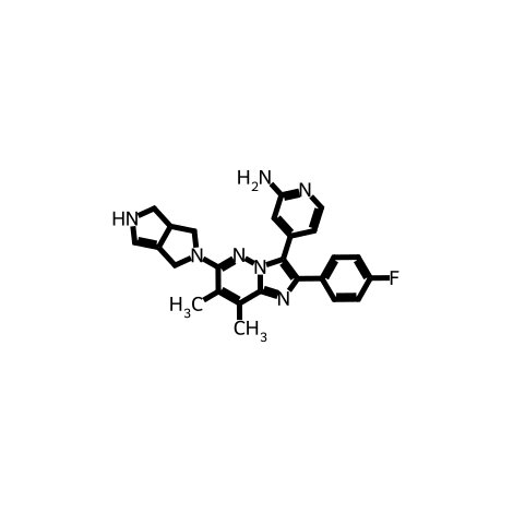 Cc1c(N2CC3=CNCC3C2)nn2c(-c3ccnc(N)c3)c(-c3ccc(F)cc3)nc2c1C